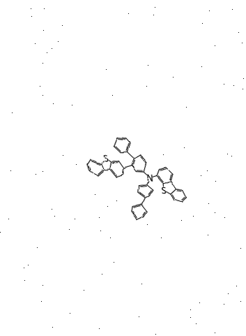 c1ccc(-c2ccc(N(c3ccc(-c4ccccc4)c(-c4ccc5c(c4)sc4ccccc45)c3)c3cccc4c3sc3ccccc34)cc2)cc1